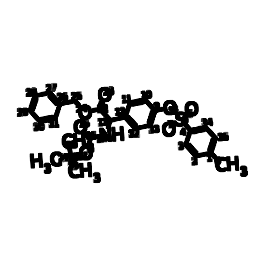 Cc1ccc(S(=O)(=O)Oc2ccc(C(NC(=O)OC(C)(C)C)C(=O)OCc3ccccc3)cc2)cc1